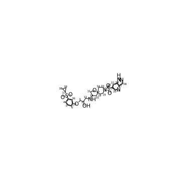 O=S(=O)(c1cccc(OC[C@@H](O)CN[C@H]2COC3(CCN(S(=O)(=O)c4cnc5cn[nH]c5c4)CC3)C2)c1)C1CC1